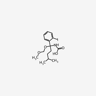 COCOC(CCC(C)C)(NC(=O)O)c1ccccc1I